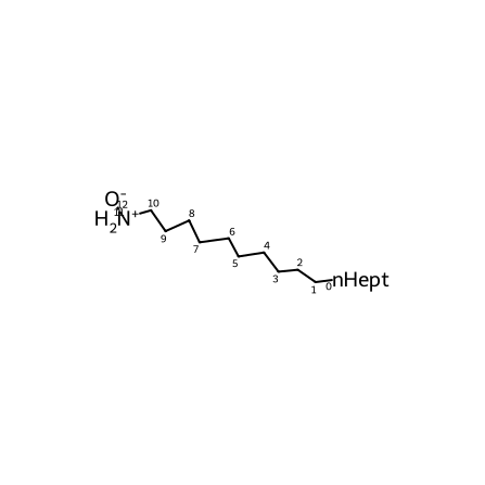 CCCCCCCCCCCCCCCCC[NH2+][O-]